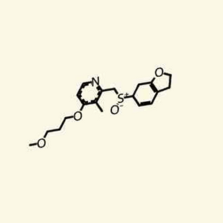 COCCCOc1ccnc(C[S+]([O-])C2C=CC3=C(C2)OCC3)c1C